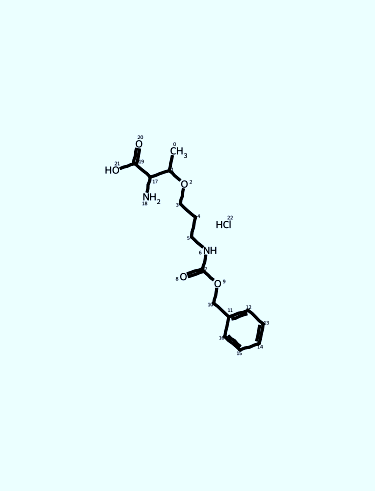 CC(OCCCNC(=O)OCc1ccccc1)C(N)C(=O)O.Cl